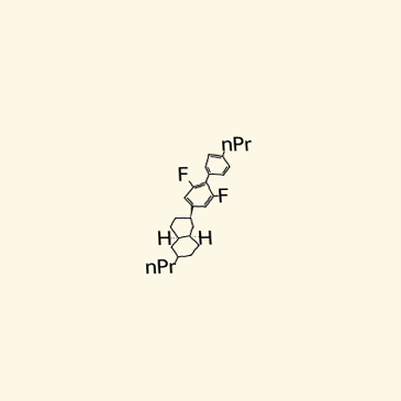 CCCc1ccc(-c2c(F)cc([C@@H]3CC[C@@H]4CC(CCC)CC[C@@H]4C3)cc2F)cc1